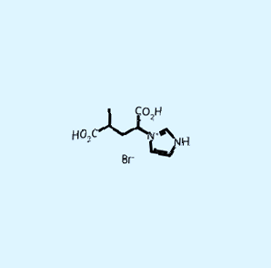 CC(CC(C(=O)O)[n+]1cc[nH]c1)C(=O)O.[Br-]